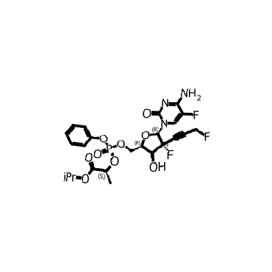 CC(C)OC(=O)[C@H](C)OP(=O)(OC[C@H]1O[C@@H](n2cc(F)c(N)nc2=O)[C@@](F)(C#CCF)C1O)Oc1ccccc1